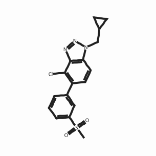 CS(=O)(=O)c1cccc(-c2ccc3c(nnn3CC3CC3)c2Cl)c1